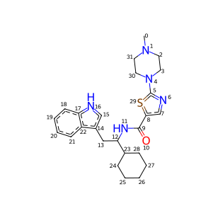 CN1CCN(c2ncc(C(=O)NC(Cc3c[nH]c4ccccc34)C3CCCCC3)s2)CC1